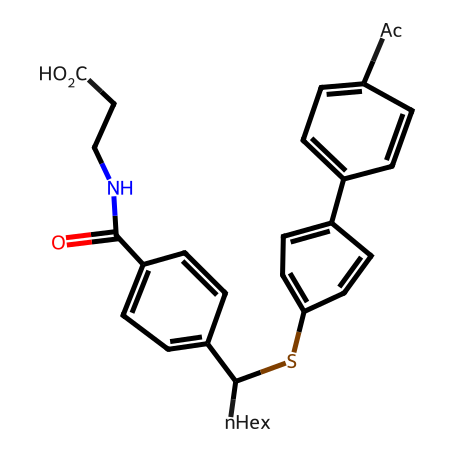 CCCCCCC(Sc1ccc(-c2ccc(C(C)=O)cc2)cc1)c1ccc(C(=O)NCCC(=O)O)cc1